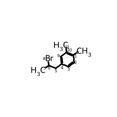 Cc1ccc(CC(C)Br)cc1C